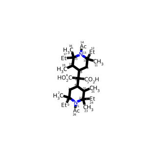 CCC1(C)CC(C(C(=O)O)(C(=O)O)C2CC(C)(CC)N(C(C)=O)C(C)(CC)C2C)C(C)C(C)(CC)N1C(C)=O